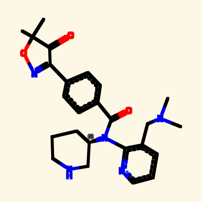 CN(C)Cc1cccnc1N(C(=O)c1ccc(C2=NOC(C)(C)C2=O)cc1)[C@@H]1CCCNC1